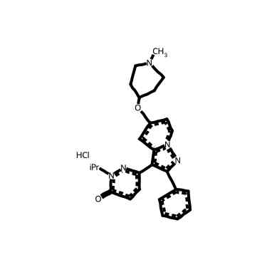 CC(C)n1nc(-c2c(-c3ccccc3)nn3ccc(OC4CCN(C)CC4)cc23)ccc1=O.Cl